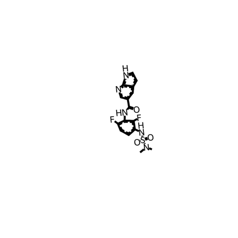 CN(C)S(=O)(=O)Nc1ccc(F)c(NC(=O)c2cnc3[nH]ccc3c2)c1F